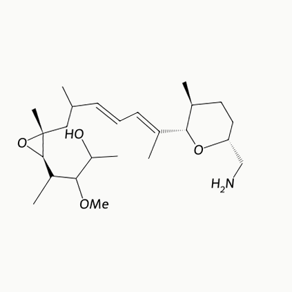 COC(C(C)O)C(C)[C@H]1O[C@]1(C)CC(C)/C=C/C=C(\C)[C@H]1O[C@@H](CN)CC[C@@H]1C